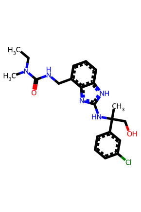 CCN(C)C(=O)NCc1cccc2[nH]c(NC(C)(CO)c3cccc(Cl)c3)nc12